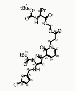 CC(C)C(NC(=O)OC(C)(C)C)C(=O)OCOC(=O)CCn1cccc(-c2cc(NCc3ccc(Cl)s3)n(C(=O)C(C)(C)C)n2)c1=O